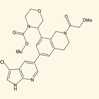 COCC(=O)N1CCc2cc(-c3cnc4[nH]cc(Cl)c4c3)cc(C3COCCN3C(=O)OC(C)(C)C)c2C1